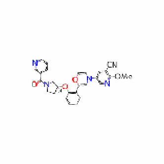 COc1ncc(N2C=COC(C3=C(O[C@H]4CCN(C(=O)c5cccnc5)C4)C=CCC3)=C2)cc1C#N